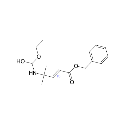 CCOC(O)NC(C)(C)/C=C/C(=O)OCc1ccccc1